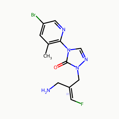 Cc1cc(Br)cnc1-n1cnn(C/C(=C\F)CN)c1=O